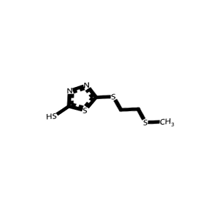 CSCCSc1nnc(S)s1